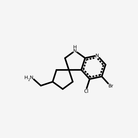 NCC1CCC2(CNc3ncc(Br)c(Cl)c32)C1